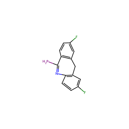 Fc1ccc2c(c1)Cc1cc(F)ccc1C(P)=N2